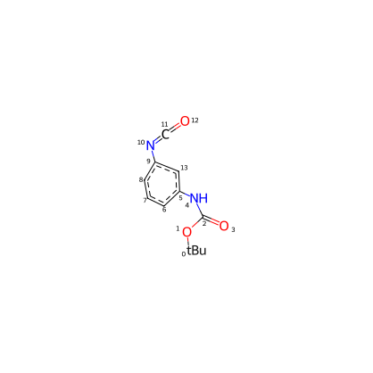 CC(C)(C)OC(=O)Nc1cccc(N=C=O)c1